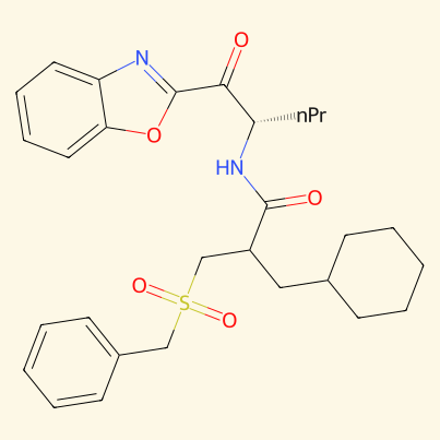 CCC[C@H](NC(=O)C(CC1CCCCC1)CS(=O)(=O)Cc1ccccc1)C(=O)c1nc2ccccc2o1